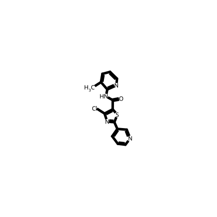 Cc1cccnc1NC(=O)c1sc(-c2cccnc2)nc1Cl